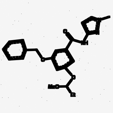 CCC(OC)Oc1cc(OCc2ccccc2)cc(C(=O)Nc2ccn(C)n2)c1